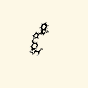 FC(F)c1nnc2n1CCC(CN1CCC(c3c[nH]c4ccccc34)C1)C2